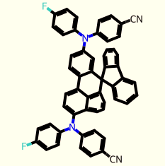 N#Cc1ccc(N(c2ccc(F)cc2)c2ccc3c(c2)C2(c4ccccc4-c4ccccc42)c2cccc4c(N(c5ccc(F)cc5)c5ccc(C#N)cc5)ccc-3c24)cc1